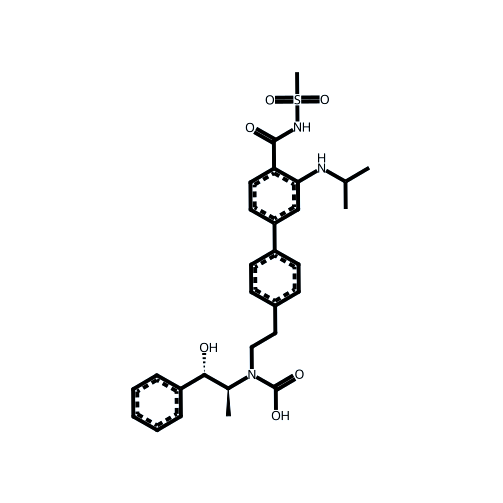 CC(C)Nc1cc(-c2ccc(CCN(C(=O)O)[C@@H](C)[C@@H](O)c3ccccc3)cc2)ccc1C(=O)NS(C)(=O)=O